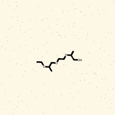 CCOC(C)CO[CH]COC(C)CO